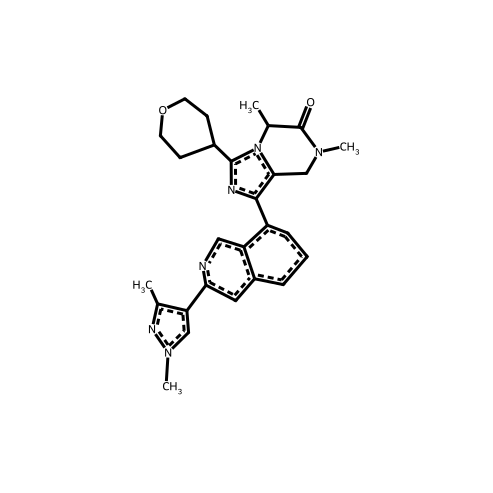 Cc1nn(C)cc1-c1cc2cccc(-c3nc(C4CCOCC4)n4c3CN(C)C(=O)C4C)c2cn1